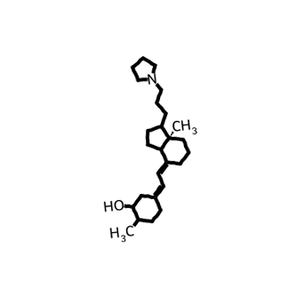 CC1CC/C(=C/C=C2\CCC[C@]3(C)C(CCCN4CCCC4)CCC23)CC1O